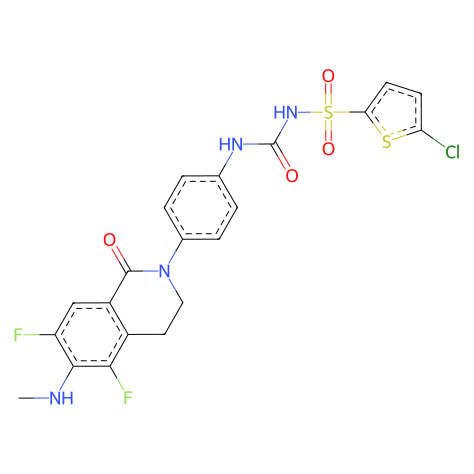 CNc1c(F)cc2c(c1F)CCN(c1ccc(NC(=O)NS(=O)(=O)c3ccc(Cl)s3)cc1)C2=O